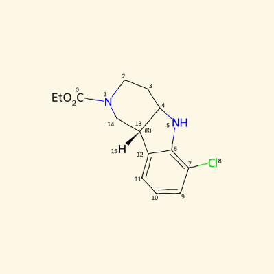 CCOC(=O)N1CCC2Nc3c(Cl)cccc3[C@@H]2C1